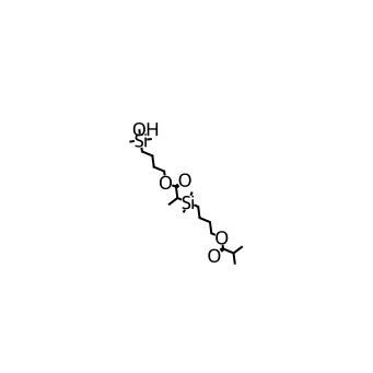 CC(C)C(=O)OCCCC[Si](C)(C)C(C)C(=O)OCCCC[Si](C)(C)O